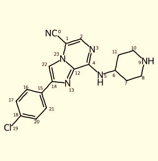 N#Cc1cnc(NC2CCNCC2)c2nc(-c3ccc(Cl)cc3)cn12